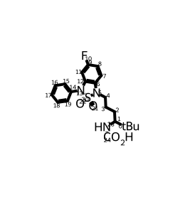 CC(C)(C)C(CCCN1c2ccc(F)cc2N(c2ccccc2)S1(=O)=O)NC(=O)O